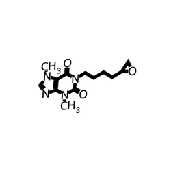 Cn1cnc2c1c(=O)n(CCCCC1CO1)c(=O)n2C